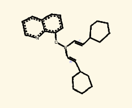 C(=C\C1CCCCC1)/B(/C=C/C1CCCCC1)Oc1cccc2cccnc12